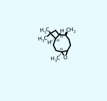 C=C1CCC2O[C@@]2(C)CC[C@@H]2[C@@H]1CC2(C)C